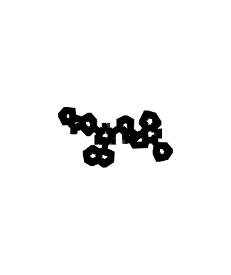 c1ccc(-c2nc3ccccc3c3c2ccc2sc4c(-c5nc(-c6ccc7c(c6)sc6ccccc67)nc(-c6cccc7ccccc67)n5)cccc4c23)cc1